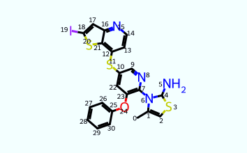 CC1=CSC(N)N1c1ncc(Sc2ccnc3cc(I)sc23)cc1Oc1ccccc1